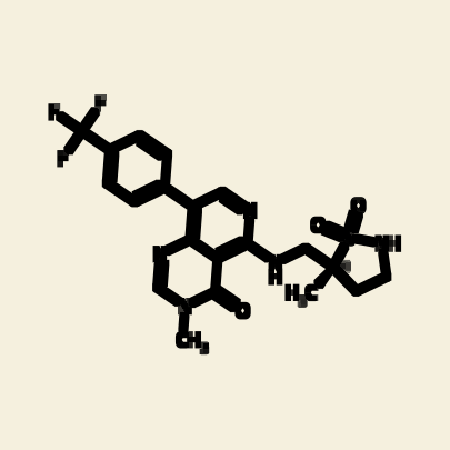 Cn1cnc2c(-c3ccc(C(F)(F)F)cc3)cnc(NC[C@@]3(C)CCNS3(=O)=O)c2c1=O